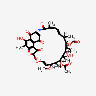 CO[C@H]1/C=C/O[C@@]2(C)Oc3c(C)c(O)c4c(c3C2=O)C(=O)C=C(NC(=O)/C(C)=C\C=C\[C@H](C)[C@H](OC=O)[C@@H](C)[C@@H](O)[C@H](C)[C@H](OC(C)=O)[C@H]1C)C4=O